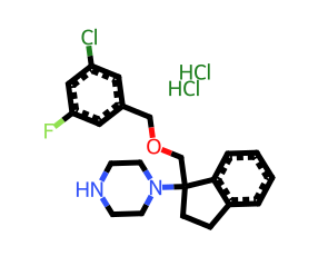 Cl.Cl.Fc1cc(Cl)cc(COCC2(N3CCNCC3)CCc3ccccc32)c1